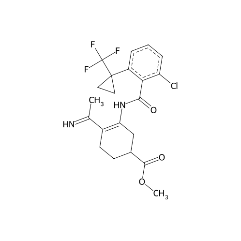 COC(=O)C1CCC(C(C)=N)=C(NC(=O)c2c(Cl)cccc2C2(C(F)(F)F)CC2)C1